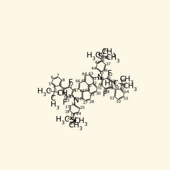 CC(C)(C)c1ccccc1-c1cc(F)c(N(c2ccc([Si](C)(C)C)cc2)c2ccc3ccc4c(N(c5ccc([Si](C)(C)C)cc5)c5cc(F)c(-c6ccccc6C(C)(C)C)cc5F)ccc5ccc2c3c54)cc1F